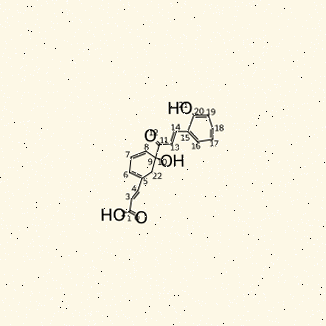 O=C(O)/C=C/C1=CC=CC(O)(C(=O)/C=C/c2ccccc2O)C1